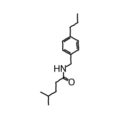 CCCc1ccc(CNC(=O)CCC(C)C)cc1